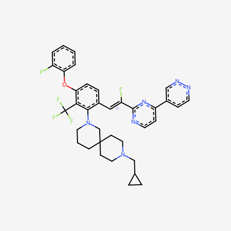 F/C(=C\c1ccc(Oc2ccccc2F)c(C(F)(F)F)c1N1CCCC2(CCN(CC3CC3)CC2)C1)c1nccc(-c2ccnnc2)n1